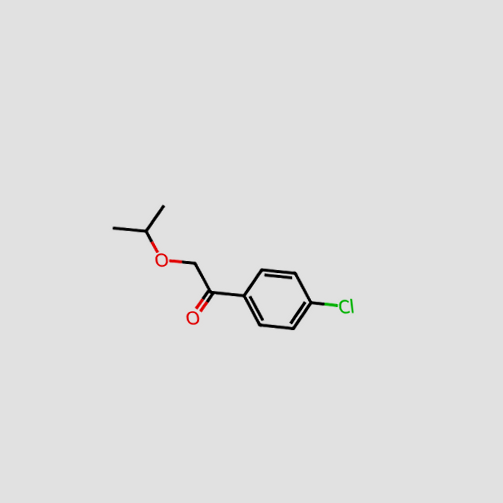 CC(C)OCC(=O)c1ccc(Cl)cc1